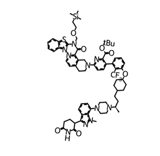 C[C@H](CCC1CCC(Oc2cccc(-c3ccc(N4CCc5ccnc(C(=O)N(COCC[Si](C)(C)C)c6nc7ccccc7s6)c5C4)nc3C(=O)OC(C)(C)C)c2C(F)(F)F)CC1)N1CCN(c2cccc3c(C4CCC(=O)NC4=O)nn(C)c23)CC1